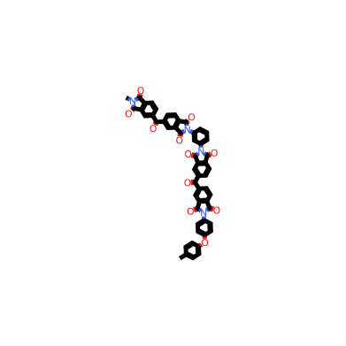 Cc1ccc(Oc2ccc(N3C(=O)c4ccc(C(=O)c5ccc6c(c5)C(=O)N(c5cccc(N7C(=O)c8ccc(C(=O)c9ccc%10c(c9)C(=O)N(C)C%10=O)cc8C7=O)c5)C6=O)cc4C3=O)cc2)cc1